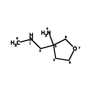 CNCC1(N)CCOC1